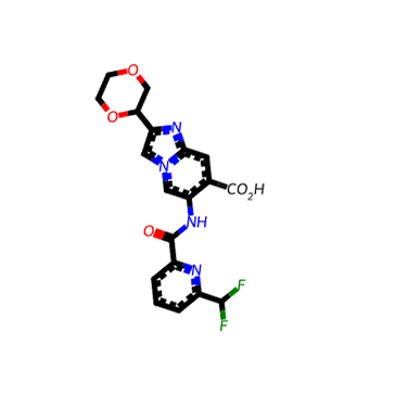 O=C(Nc1cn2cc(C3COCCO3)nc2cc1C(=O)O)c1cccc(C(F)F)n1